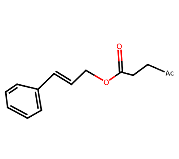 CC(=O)CCC(=O)OCC=Cc1ccccc1